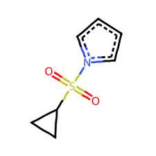 O=S(=O)(C1CC1)n1cccc1